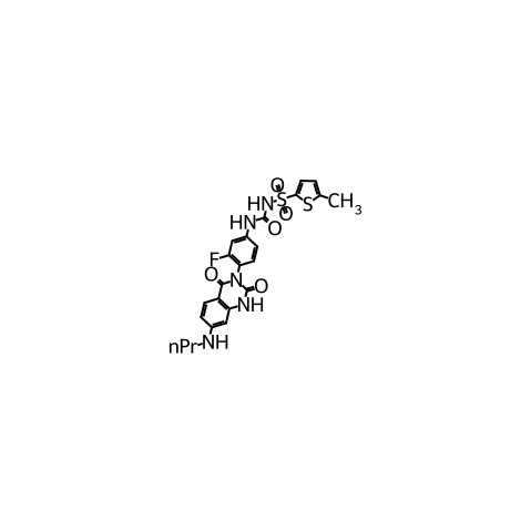 CCCNc1ccc2c(=O)n(-c3ccc(NC(=O)NS(=O)(=O)c4ccc(C)s4)cc3F)c(=O)[nH]c2c1